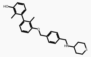 Cc1c(O)cccc1-c1cccc(OCc2ccc(CNC3CCSCC3)cc2)c1C